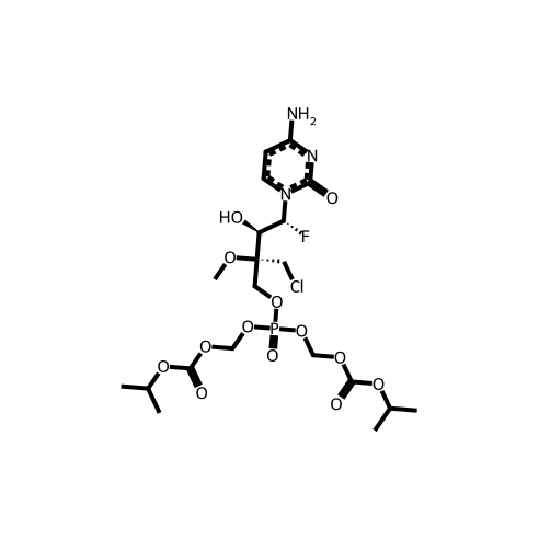 CO[C@](CCl)(COP(=O)(OCOC(=O)OC(C)C)OCOC(=O)OC(C)C)[C@@H](O)[C@@H](F)n1ccc(N)nc1=O